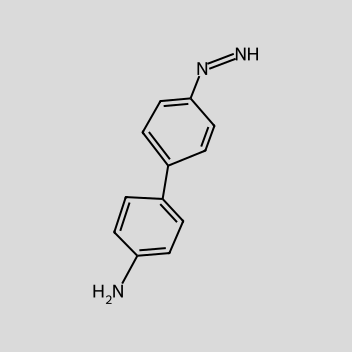 N=Nc1ccc(-c2ccc(N)cc2)cc1